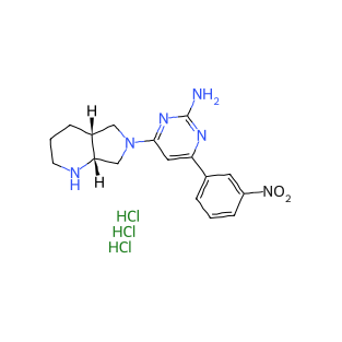 Cl.Cl.Cl.Nc1nc(-c2cccc([N+](=O)[O-])c2)cc(N2C[C@H]3CCCN[C@H]3C2)n1